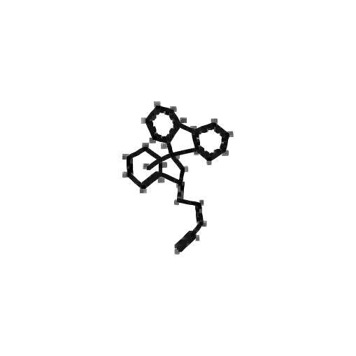 C#C/C=C\C=C1/CC2(c3ccccc3-c3ccccc32)C2(C)CC=CC=C12